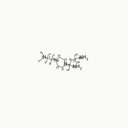 CN(C)C(C)(C)C(C)(C)N1CCN(C(C)(N)CC(C)(C)N)CC1